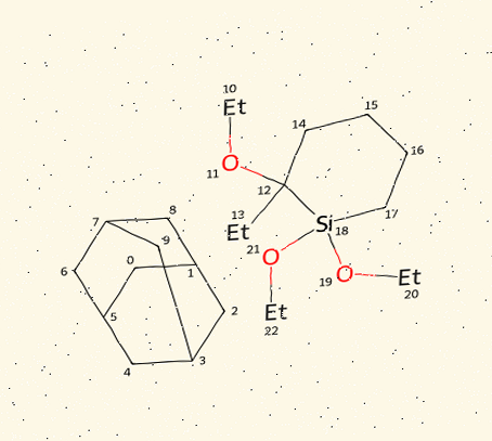 C1C2CC3CC1CC(C2)C3.CCOC1(CC)CCCC[Si]1(OCC)OCC